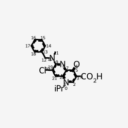 CC(C)n1cc(C(=O)O)c(=O)c2nc(N(C)Cc3ccccc3)c(Cl)cc21